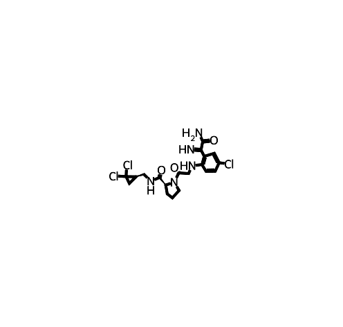 N=C(C(N)=O)c1cc(Cl)ccc1NCC(=O)N1CCC[C@H]1C(=O)NC[C@H]1CC1(Cl)Cl